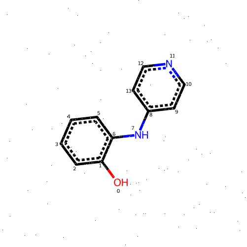 Oc1ccccc1Nc1ccncc1